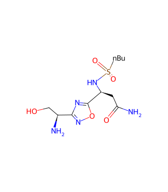 CCCCS(=O)(=O)N[C@@H](CC(N)=O)c1nc([C@@H](N)CO)no1